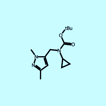 Cc1cc(CN(C(=O)OC(C)(C)C)C2CC2)n(C)n1